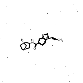 CC#Cc1coc2cc(C(=O)N[C@@H]3C[C@@H]4CCN(C4)C3)ccc12